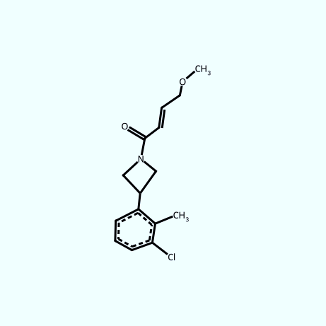 COCC=CC(=O)N1CC(c2cccc(Cl)c2C)C1